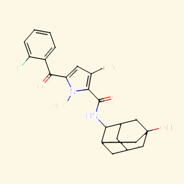 CCCc1cc(C(=O)c2ccccc2F)n(C)c1C(=O)NC1C2CC3CC1CC(O)(C3)C2